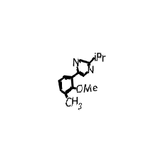 COc1c(C)cccc1-c1cnc(C(C)C)cn1